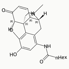 CCCCCCC(=O)Nc1cc(O)c2c3c1C[C@@H]1[C@@H]4C=CC(=O)[C@H](O2)[C@]34CCN1C